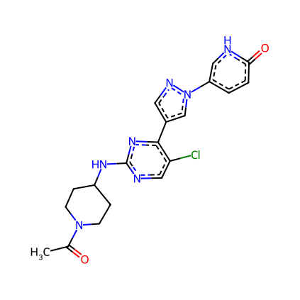 CC(=O)N1CCC(Nc2ncc(Cl)c(-c3cnn(-c4ccc(=O)[nH]c4)c3)n2)CC1